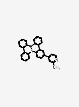 Cc1cc(-c2ccc3c(c2)-c2ccccc2B2c4ccccc4-c4ccccc4N23)ccn1